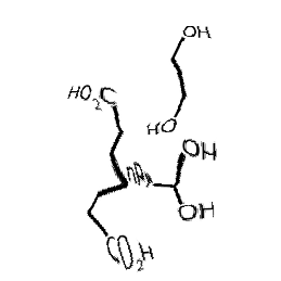 CCCC(O)O.O=C(O)CCCCC(=O)O.OCCO